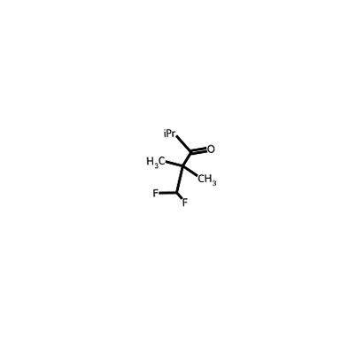 CC(C)C(=O)C(C)(C)C(F)F